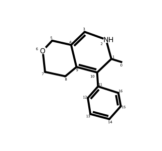 CC1NC=C2COCCC2=C1c1ccccc1